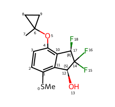 CSc1ccc(OC2(C)CC2)c2c1[C@H](O)C(F)(F)[C@@H]2F